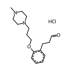 CN1CCN(CCCOc2ccccc2CCC=O)CC1.Cl